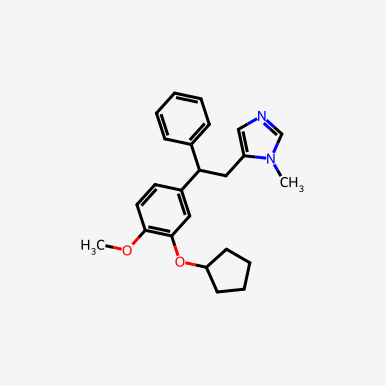 COc1ccc(C(Cc2cncn2C)c2ccccc2)cc1OC1CCCC1